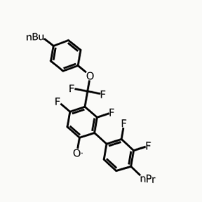 CCCCc1ccc(OC(F)(F)c2c(F)cc([O])c(-c3ccc(CCC)c(F)c3F)c2F)cc1